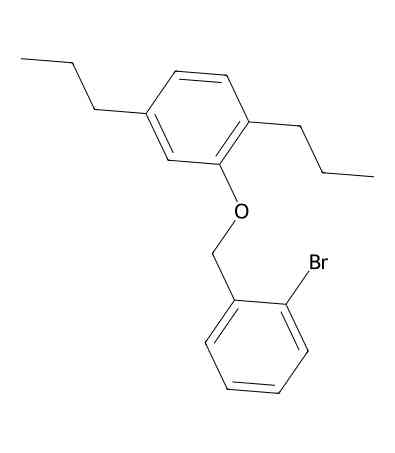 CCCc1ccc(CCC)c(OCc2ccccc2Br)c1